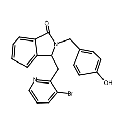 O=C1c2ccccc2C(Cc2ncccc2Br)N1Cc1ccc(O)cc1